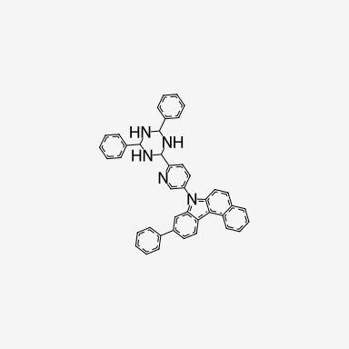 c1ccc(-c2ccc3c4c5ccccc5ccc4n(-c4ccc(C5NC(c6ccccc6)NC(c6ccccc6)N5)nc4)c3c2)cc1